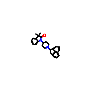 CC1(C)C(=O)N(C2CCN(C3Cc4cccc5cccc3c45)CC2)c2ccccc21